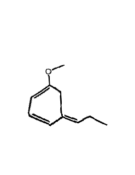 CC/C=C1/C=CC=C(OC)C1